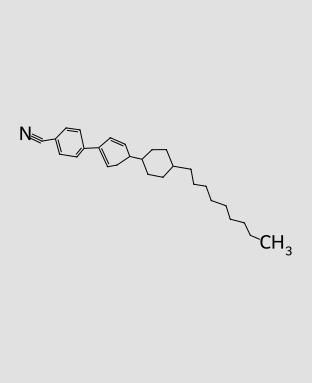 CCCCCCCCCC1CCC(C2C=CC(c3ccc(C#N)cc3)=CC2)CC1